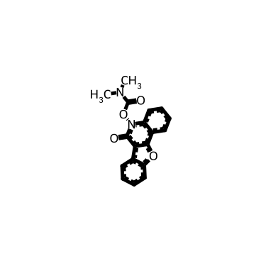 CN(C)C(=O)On1c(=O)c2c3ccccc3oc2c2ccccc21